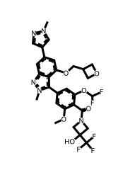 COc1cc(-c2c3c(OCC4COC4)cc(-c4cnn(C)c4)cc3nn2C)cc(OC(F)F)c1C(=O)N1CC(O)(C(F)(F)F)C1